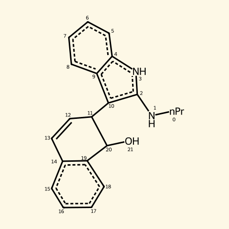 CCCNc1[nH]c2ccccc2c1C1C=Cc2ccccc2C1O